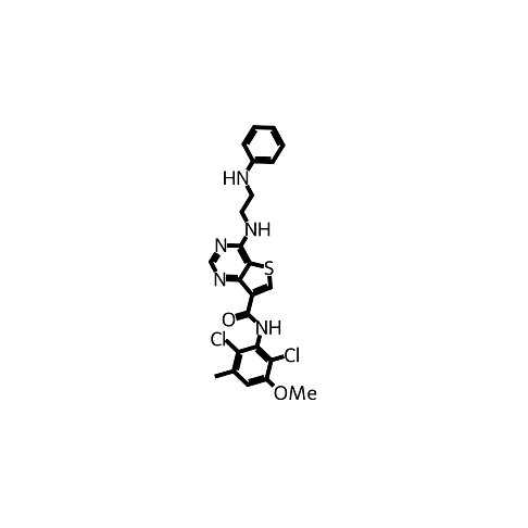 COc1cc(C)c(Cl)c(NC(=O)c2csc3c(NCCNc4ccccc4)ncnc23)c1Cl